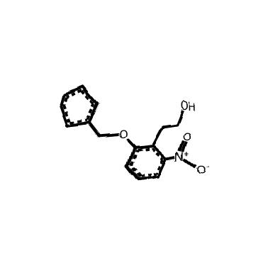 O=[N+]([O-])c1cccc(OCc2ccccc2)c1CCO